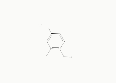 [CH2]c1cc(OC)ccc1CO